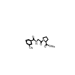 COC(=O)C1CCCN1C(=O)CNC(=O)c1cccc(C#N)c1